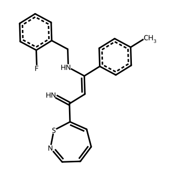 Cc1ccc(/C(=C/C(=N)C2=CC=CC=NS2)NCc2ccccc2F)cc1